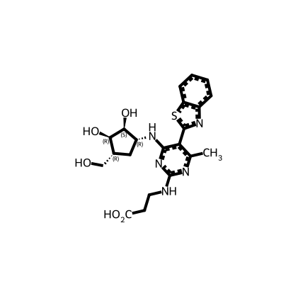 Cc1nc(NCCC(=O)O)nc(N[C@@H]2C[C@H](CO)[C@@H](O)[C@H]2O)c1-c1nc2ccccc2s1